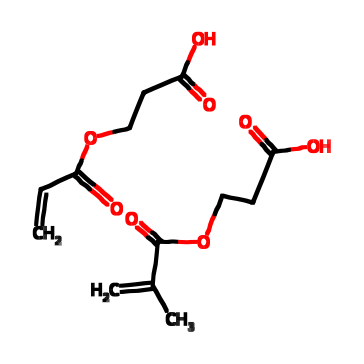 C=C(C)C(=O)OCCC(=O)O.C=CC(=O)OCCC(=O)O